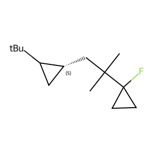 CC(C)(C)C1C[C@H]1CC(C)(C)C1(F)CC1